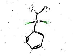 C[CH](C)[Sn]([Cl])([Cl])[c]1ccccc1